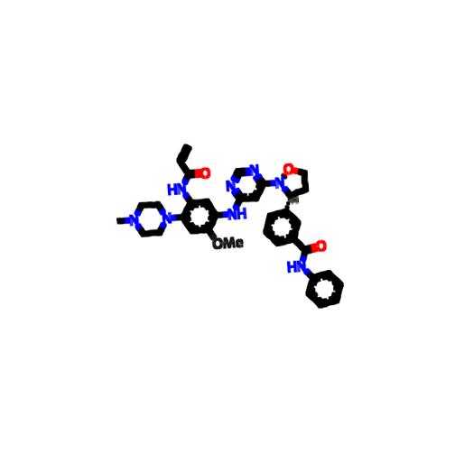 C=CC(=O)Nc1cc(Nc2cc(N3OCC[C@@H]3c3cccc(C(=O)Nc4ccccc4)c3)ncn2)c(OC)cc1N1CCN(C)CC1